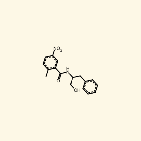 Cc1ccc([N+](=O)[O-])cc1C(=O)N[C@H](CO)Cc1ccccc1